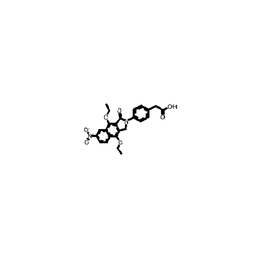 CCOc1c2c(c(OCC)c3cc([N+](=O)[O-])ccc13)C(=O)N(c1ccc(CC(=O)O)cc1)C2